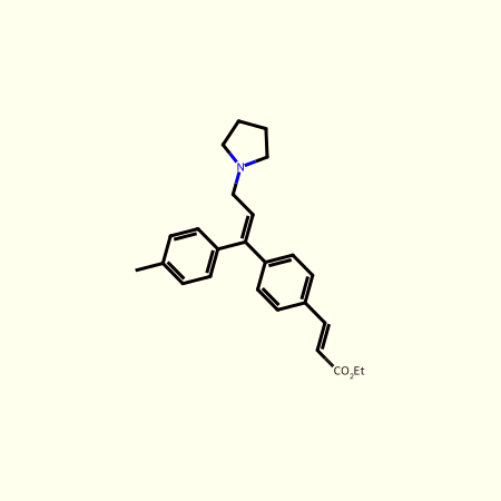 CCOC(=O)C=Cc1ccc(C(=CCN2CCCC2)c2ccc(C)cc2)cc1